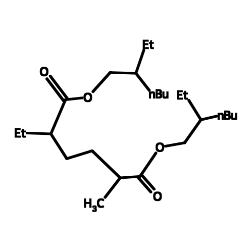 CCCCC(CC)COC(=O)C(C)CCC(CC)C(=O)OCC(CC)CCCC